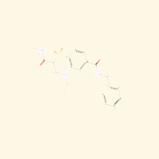 CCN1c2cc(C(=O)NCc3ccc(F)cc3)ccc2S(=O)(=O)C(C(=O)NO)C1C